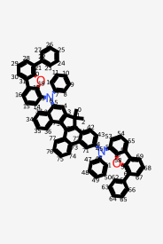 CC1(C)c2cc(N(c3ccccc3)c3cccc4c3oc3c(-c5ccccc5)cccc34)c3ccccc3c2-c2c1c1ccc(N(c3ccccc3)c3cccc4c3oc3c(-c5ccccc5)cccc34)cc1c1ccccc21